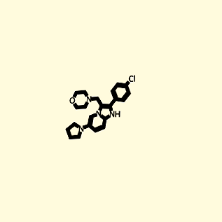 Clc1ccc(C2=C(CN3CCOCC3)N3C=C(N4CCCC4)C=CC3N2)cc1